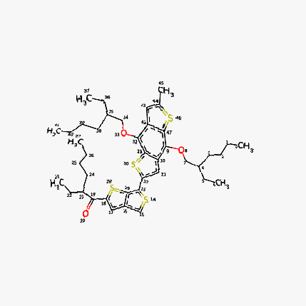 CCCCC(CC)COc1c2cc(-c3scc4cc(C(=O)C(CC)CCCC)sc34)sc2c(OCC(CC)CCCC)c2cc(C)sc12